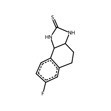 Fc1ccc2c(c1)CCC1NC(=S)NC21